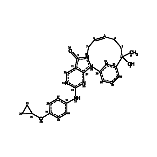 CC1(O)CC/C=C\Cn2c(=O)c3cnc(Nc4ccc(OC5CC5)cc4)nc3n2-c2cccc1n2